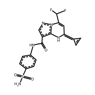 NS(=O)(=O)c1ccc(NC(=O)c2cnn3c2NC(=C2C=C2)C=C3C(F)F)cc1